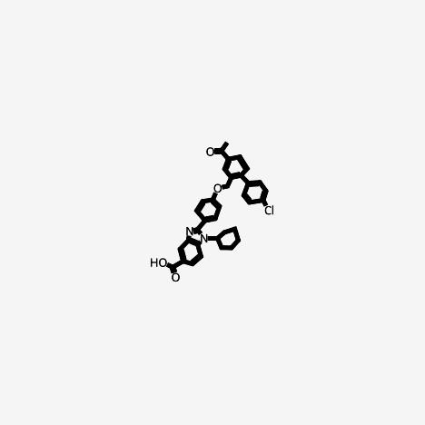 CC(=O)c1ccc(-c2ccc(Cl)cc2)c(COc2ccc(-c3nc4cc(C(=O)O)ccc4n3C3CCCCC3)cc2)c1